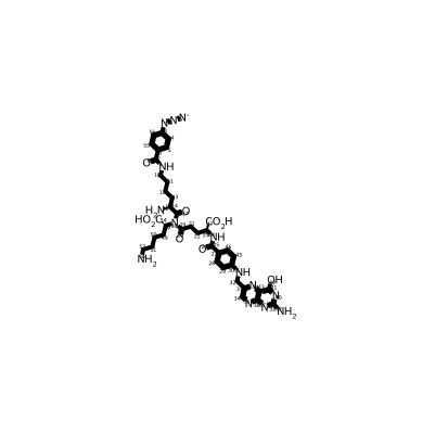 [N-]=[N+]=Nc1ccc(C(=O)NCCCC[C@H](N)C(=O)N(C(=O)CC[C@H](NC(=O)c2ccc(NCc3cnc4nc(N)nc(O)c4n3)cc2)C(=O)O)[C@H](CCCCN)C(=O)O)cc1